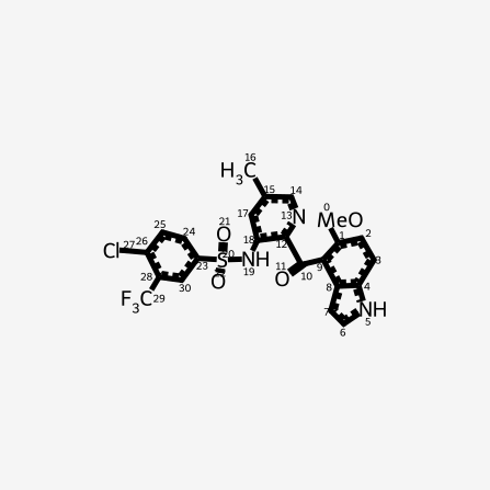 COc1ccc2[nH]ccc2c1C(=O)c1ncc(C)cc1NS(=O)(=O)c1ccc(Cl)c(C(F)(F)F)c1